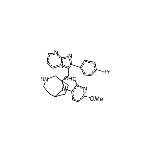 COc1ccc(N2C3CCNCC2(Cc2c(-c4ccc(C(C)C)cc4)nc4ncccn24)CC3)c(C=O)n1